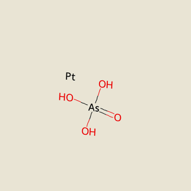 O=[As](O)(O)O.[Pt]